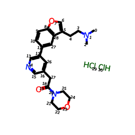 CN(C)CCc1coc2ccc(-c3cncc(CC(=O)N4CCOCC4)c3)cc12.Cl.Cl